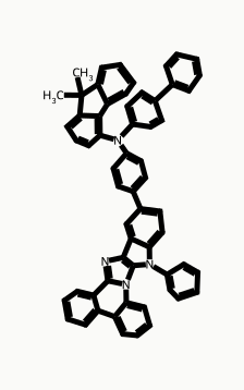 CC1(C)c2ccccc2-c2c(N(c3ccc(-c4ccccc4)cc3)c3ccc(-c4ccc5c(c4)c4nc6c7ccccc7c7ccccc7n6c4n5-c4ccccc4)cc3)cccc21